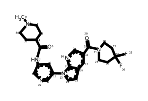 CN1CCC(C(=O)Nc2cncc(-n3ccc4cc(C(=O)N5CCC(F)(F)CC5)cnc43)c2)CC1